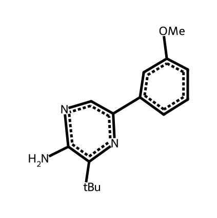 COc1cccc(-c2cnc(N)c(C(C)(C)C)n2)c1